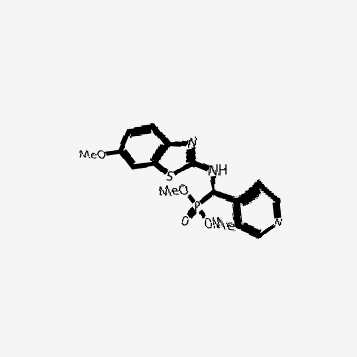 COc1ccc2nc(N[C@@H](c3ccncc3)P(=O)(OC)OC)sc2c1